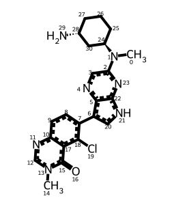 CN(c1cnc2c(-c3ccc4ncn(C)c(=O)c4c3Cl)c[nH]c2n1)[C@@H]1CCC[C@@H](N)C1